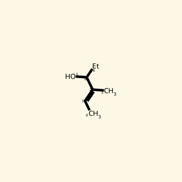 C/C=C(\C)C(O)CC